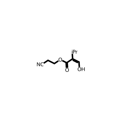 CC(C)/C(=C/O)C(=O)OCCC#N